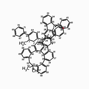 CC1CC(c2nc(-c3ccccc3)nc(-c3cccc4c3-c3cc(-c5ccc6c(c5)c5ccccc5n6-c5ccccc5)ccc3-c3ccccc3CC(C)(C)c3ccccc3-4)n2)=CC=C1c1ccccc1